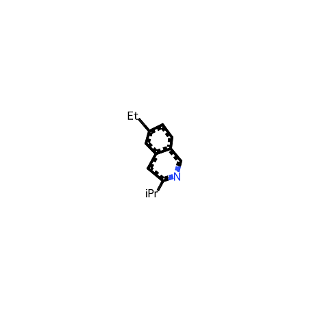 CCc1ccc2cnc(C(C)C)cc2c1